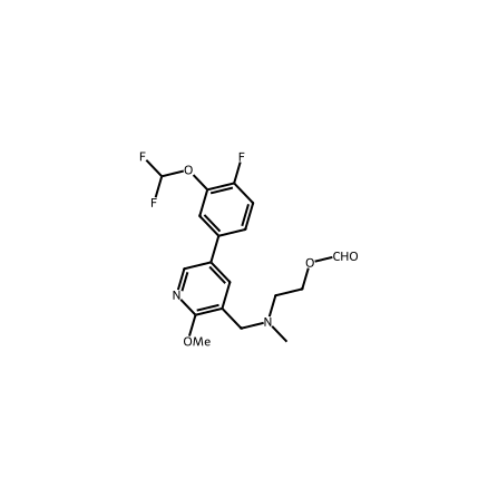 COc1ncc(-c2ccc(F)c(OC(F)F)c2)cc1CN(C)CCOC=O